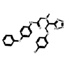 CN(CC(=O)Nc1ccc(Oc2ccccc2)cc1)C(COc1ccc(Cl)cc1)c1nnn[nH]1